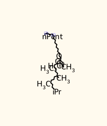 CCCCC/C=C\C/C=C\CCCCCCCCOCC(CN(C)C)OCCC(C)CCCC(C)CCCC(C)CCCC(C)C